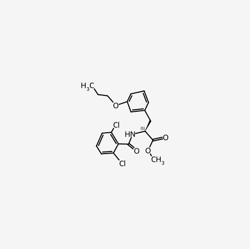 CCCOc1cccc(C[C@H](NC(=O)c2c(Cl)cccc2Cl)C(=O)OC)c1